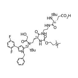 CC(C)(C)N[C@H](CCC(=O)O)C(=O)NCCNC(=O)[C@H](CCN(C(=O)CO)[C@@H](c1cc(-c2cc(F)ccc2F)cn1Cc1ccccc1)C(C)(C)C)NC(=O)OCC[Si](C)(C)C